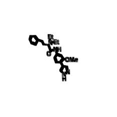 CCN(CC)[C@H](CCc1ccccc1)C(=O)Nc1ccc(-c2cn[nH]c2)c(OC)c1